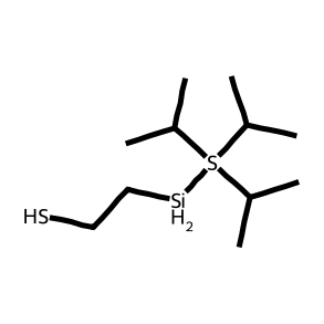 CC(C)S([SiH2]CCS)(C(C)C)C(C)C